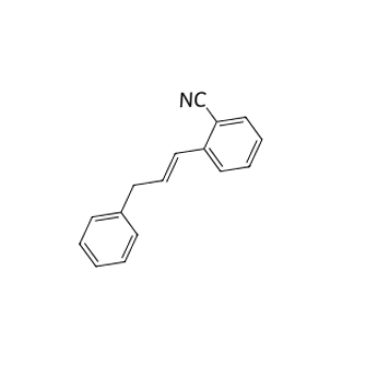 N#Cc1ccccc1C=CCc1ccccc1